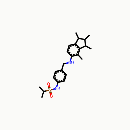 Cc1c(NCc2ccc(NS(=O)(=O)C(C)C)cc2)ccc2c1C(C)C(C)C2C